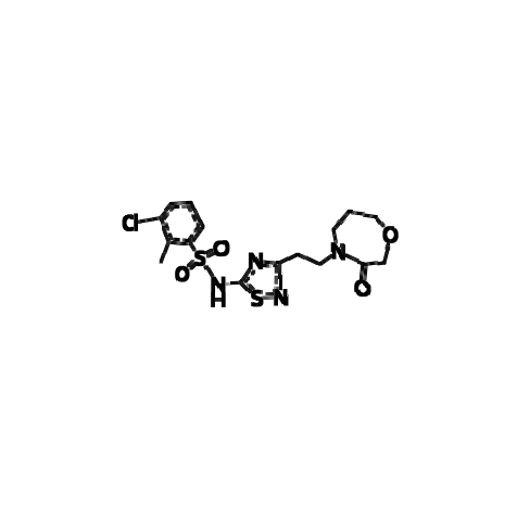 Cc1c(Cl)cccc1S(=O)(=O)Nc1nc(CCN2CCCOCC2=O)ns1